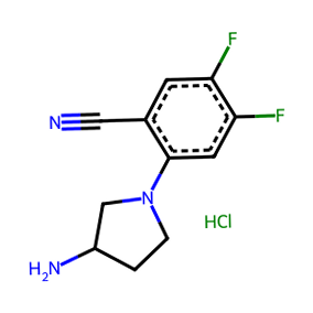 Cl.N#Cc1cc(F)c(F)cc1N1CCC(N)C1